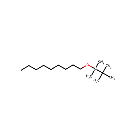 [Li][CH2]CCCCCCCO[Si](C)(C)C(C)(C)C